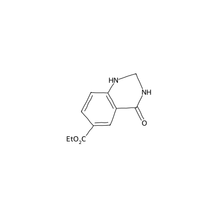 CCOC(=O)c1ccc2c(c1)C(=O)NCN2